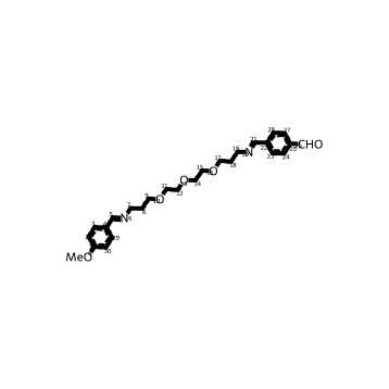 COc1ccc(C=NCCCOCCOCCOCCCN=Cc2ccc(C=O)cc2)cc1